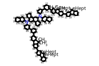 CCCCCCCC1(CCCCCCC)c2ccccc2-c2ccc(-c3ccc4c(c3)C(C)(C)c3cc(-c5cccc(-c6cccc(N(c7ccc8ccccc8c7)c7cc8c9ccccc9c(N(c9cccc(-c%10cccc(-c%11ccc%12c(c%11)C(C)(C)c%11cc(-c%13ccc%14c(c%13)C(CCCCCCC)(CCCCCCC)c%13ccccc%13-%14)ccc%11-%12)c%10)c9)c9ccc%10ccccc%10c9)cc8c8ccccc78)c6)c5)ccc3-4)cc21